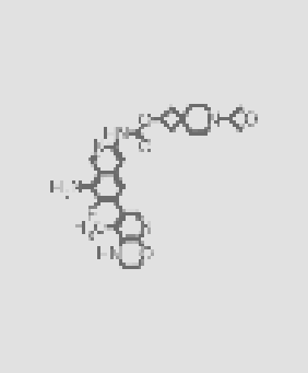 Cc1c(-c2cc3cc(NC(=O)OC4CC5(CCN(C6COC6)CC5)C4)ncc3c(N)c2F)cnc2c1NCCO2